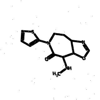 CNC1C(=O)N(c2cccs2)CCC2N=COC21